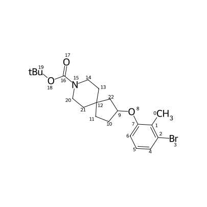 Cc1c(Br)cccc1OC1CCC2(CCN(C(=O)OC(C)(C)C)CC2)C1